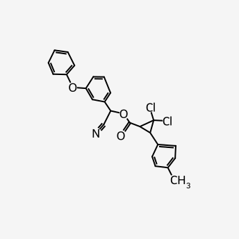 Cc1ccc(C2C(C(=O)OC(C#N)c3cccc(Oc4ccccc4)c3)C2(Cl)Cl)cc1